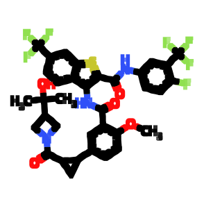 COc1ccc(C2CC2C(=O)N2CC(C(C)(C)O)C2)cc1C(=O)Nc1c(C(=O)Nc2ccc(F)c(C(F)(F)F)c2)sc2cc(C(F)(F)F)ccc12